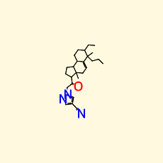 CCCC1(C)C2=CCC3(C)C(C(=O)Cn4cc(C#N)cn4)CCC3C2CCC1CC